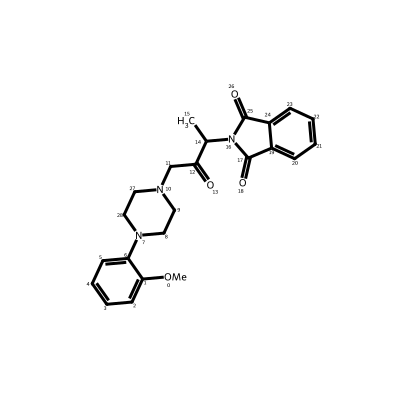 COc1ccccc1N1CCN(CC(=O)C(C)N2C(=O)c3ccccc3C2=O)CC1